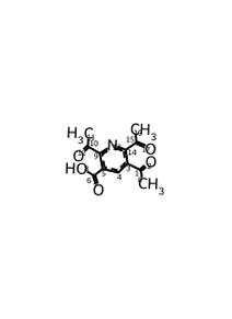 CC(=O)c1cc(C(=O)O)c(C(C)=O)nc1C(C)=O